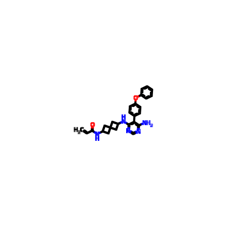 C=CC(=O)NC1CC2(C1)CC(Nc1ncnc(N)c1-c1ccc(Oc3ccccc3)cc1)C2